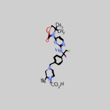 CC(C)(C)C1CN(Cc2ccc(C(I)(CF)Nc3nccc(N4C(=O)OCC4(C)C)n3)cc2)CCN1C(=O)O